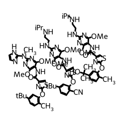 COc1nc(N(C)c2ncc[nH]2)nc(OC)c1NC(=O)c1csc(Oc2cc(C(C)(C)C)ccc2C)n1.COc1nc(NCCNC(C)C)nc(OC)c1NC(=O)c1csc(Oc2cc(C(C)(C)C)ccc2C#N)n1.COc1nc(NCCNC(C)C)nc(OC)c1NC(=O)c1csc(Oc2cc(C(C)(C)O)ccc2C)n1